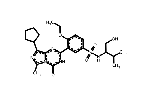 CCOc1ccc(S(=O)(=O)NC(CO)C(C)C)cc1-c1nc2c(C3CCCC3)nc(C)n2c(=O)[nH]1